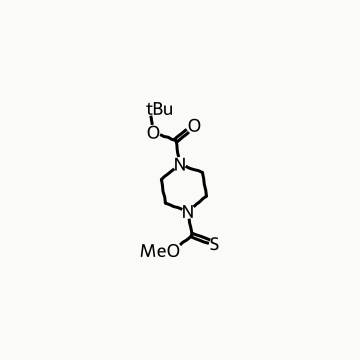 COC(=S)N1CCN(C(=O)OC(C)(C)C)CC1